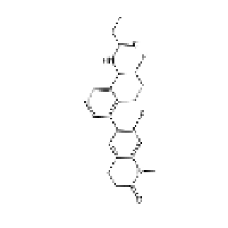 CCC(=O)NC1c2cncc(-c3cc4c(cc3F)N(C)C(=O)CC4)c2CCC1F